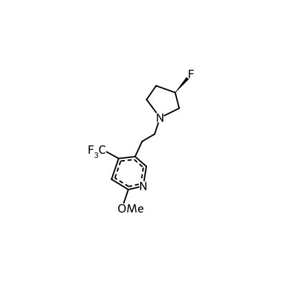 COc1cc(C(F)(F)F)c(CCN2CC[C@@H](F)C2)cn1